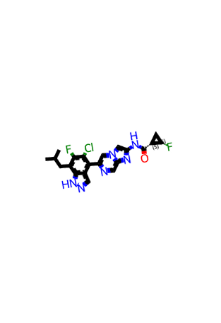 CC(C)Cc1c(F)c(Cl)c(-c2cn3cc(NC(=O)[C@@H]4C[C@@H]4F)nc3cn2)c2cn[nH]c12